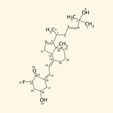 CC(C/C=C/C(C)(C)O)C1=CCC2/C(=C/C=C3/CC(O)CC(F)C3=O)CCCC12C